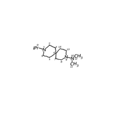 CC(C)N1CCC2(CC1)CCN(N(C)C)CC2